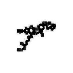 CC(C)(C)OC(=O)C=CCON=C(C(=O)NC1C(=O)N2CC(CSc3nncs3)(C(=O)O)CS[C@H]12)c1nc(N)sc1Cl